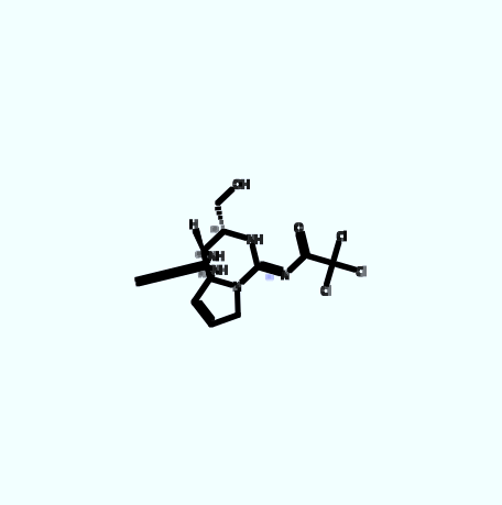 C=C1N[C@H]2[C@H](CO)N/C(=N\C(=O)C(Cl)(Cl)Cl)N3CC=C[C@]23N1